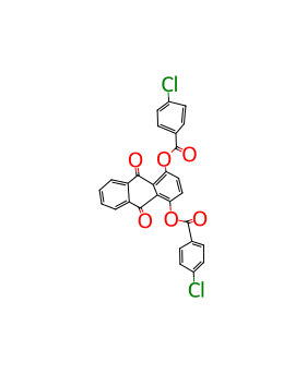 O=C(Oc1ccc(OC(=O)c2ccc(Cl)cc2)c2c1C(=O)c1ccccc1C2=O)c1ccc(Cl)cc1